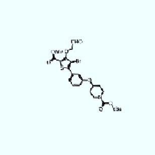 COC(=O)c1sc(-c2cccc(OC3CCN(C(=O)OC(C)(C)C)CC3)c2)c(Br)c1OCC=O